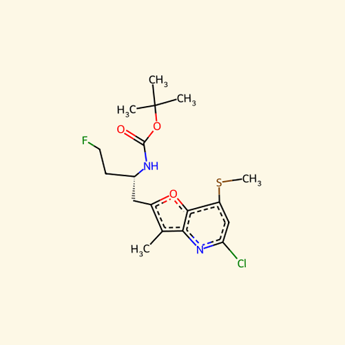 CSc1cc(Cl)nc2c(C)c(C[C@H](CCF)NC(=O)OC(C)(C)C)oc12